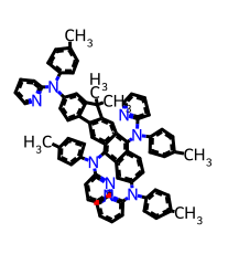 Cc1ccc(N(c2ccc3c(c2)C(C)(C)c2cc4c(N(c5ccc(C)cc5)c5ccccn5)c5ccc(N(c6ccc(C)cc6)c6ccccn6)cc5c(N(c5ccc(C)cc5)c5ccccn5)c4cc2-3)c2ccccn2)cc1